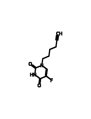 C#CCCCCn1cc(F)c(=O)[nH]c1=O